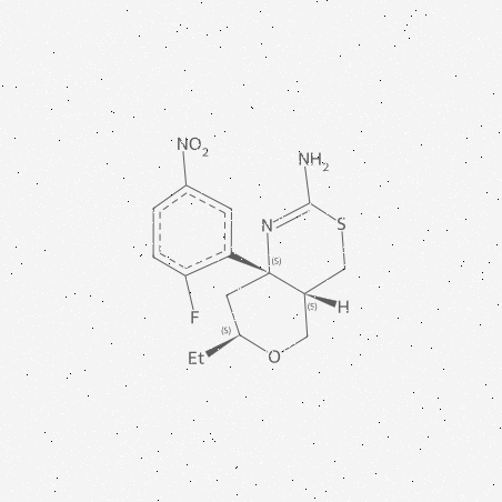 CC[C@H]1C[C@]2(c3cc([N+](=O)[O-])ccc3F)N=C(N)SC[C@@H]2CO1